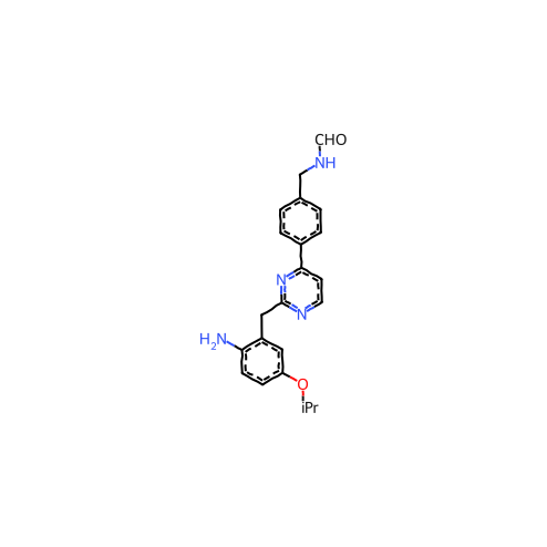 CC(C)Oc1ccc(N)c(Cc2nccc(-c3ccc(CNC=O)cc3)n2)c1